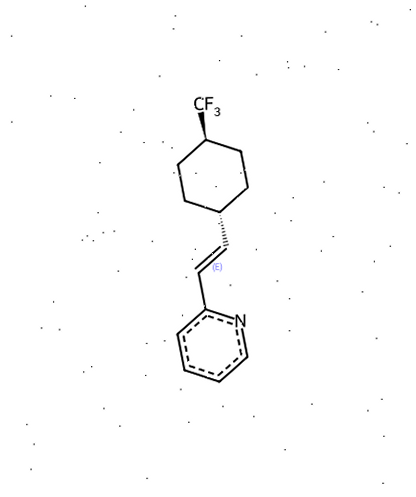 FC(F)(F)[C@H]1CC[C@H](/C=C/c2ccccn2)CC1